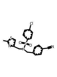 Cc1nc(CN(Cc2ccc(C#N)cc2)S(=O)(=O)c2ccc(Cl)cc2)cs1